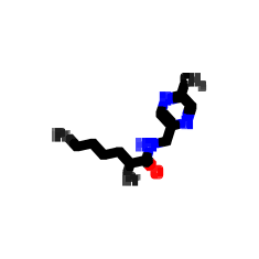 Cc1cnc(CNC(=O)C(CCCCC(C)C)C(C)C)cn1